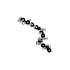 O=C1CCC(c2ccc(N3CCC(N4CCC5(CC4)CC(NC(=O)Cc4ccc(Nc6ncc(F)c(Nc7ccc(C(=O)Nc8ccccc8Cl)cc7)n6)cc4)C5)CC3)c(F)c2)C(=O)N1